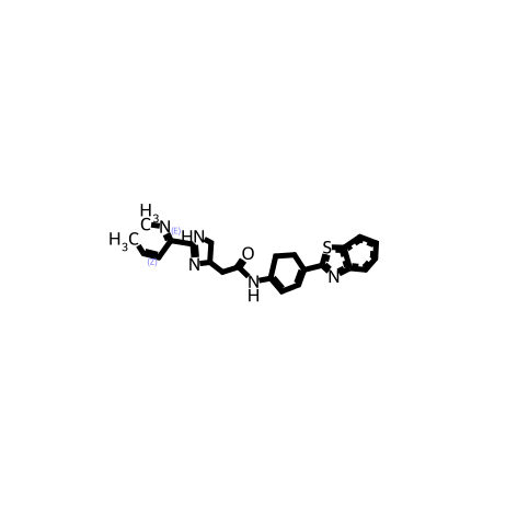 C/C=C\C(=N/C)C1=NC(CC(=O)NC2=CC=C(c3nc4ccccc4s3)CC2)CN1